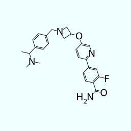 CC(c1ccc(CN2CC(Oc3ccc(-c4ccc(C(N)=O)c(F)c4)nc3)C2)cc1)N(C)C